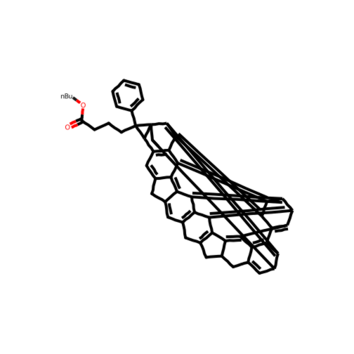 CCCCOC(=O)CCCC1(c2ccccc2)C2c3cc4c5c6c(cc7c8c9c%10c%11c%12c%13c%14c%15c(c%16c3c5c3c%16c%14c%12c9c3c68)C21CC%15C=C%13CC%11CC=%10C7)C4